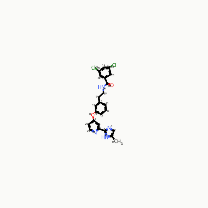 Cc1cnc(-c2cc(Oc3cccc(CCNC(=O)c4cc(Cl)cc(Cl)c4)c3)ccn2)[nH]1